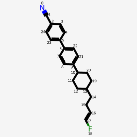 N#Cc1ccc(-c2ccc(C3CCC(CC/C=C/F)CC3)cc2)cc1